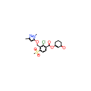 Cc1cc(OCc2c(S(C)(=O)=O)ccc(C(=O)OC3=CC(=O)CCC3)c2Cl)n(C)n1